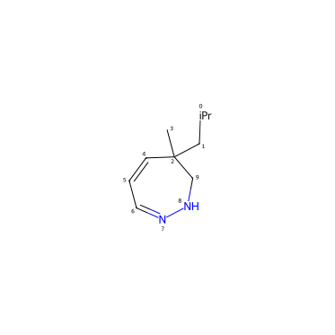 CC(C)CC1(C)C=CC=NNC1